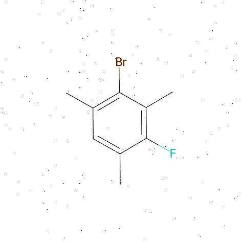 Cc1cc(C)c(Br)c(C)c1F